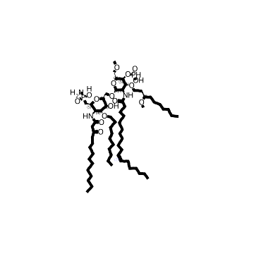 CCCCCC/C=C\CCCCCCCCCC(=O)N[C@H]1[C@H](OC[C@H]2O[C@H](CP(N)(=O)O)[C@H](NC(=O)CC(=O)CCCCCCCCCCC)[C@@H](OCCCCCCCCCC)[C@@H]2O)O[C@H](COC)[C@@H](O[PH](=O)O)[C@@H]1OCC[C@@H](CCCCCCC)OC